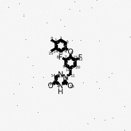 Cc1ccc(Oc2c(F)cc(Cn3ncc(=O)[nH]c3=O)cc2F)cc1C